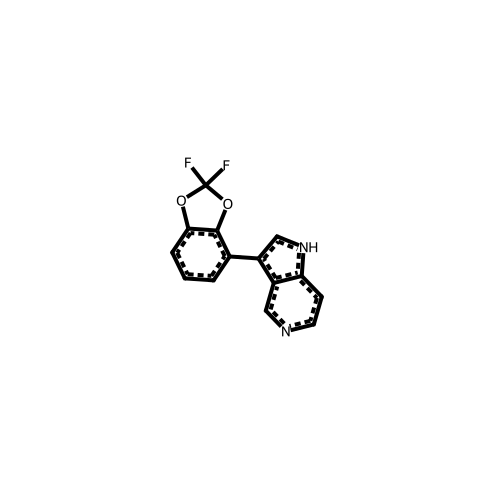 FC1(F)Oc2cccc(-c3c[nH]c4ccncc34)c2O1